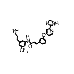 CN(C)CCCc1cc(NC(=O)C=Cc2cccc(Oc3ccnc(C4=NCCN4)c3)c2)cc(C(F)(F)F)c1